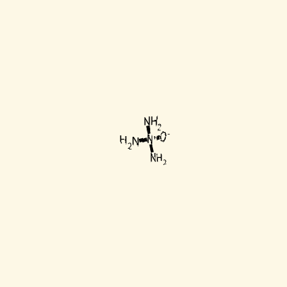 N[N+](N)(N)[O-]